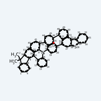 CC1(C)c2ccccc2-c2c(-c3ccccc3N(c3ccc(-c4ccc5c(c4)sc4ccccc45)cc3)c3ccccc3-c3ccc(-c4ccccc4)cc3)cccc21